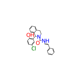 O=C(NC=Cc1ccccc1)N1CCc2ccccc2C1c1cc(Cl)ccc1O